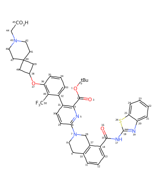 CC(C)(C)OC(=O)c1nc(N2CCc3cccc(C(=O)Nc4nc5ccccc5s4)c3C2)ccc1-c1cccc(OC2CC3(CCN(CC(=O)O)CC3)C2)c1C(F)(F)F